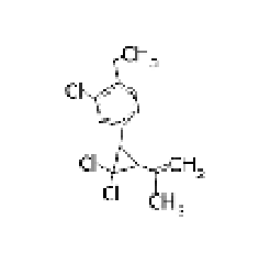 C=C(C)C1C(c2ccc(CC)c(Cl)c2)C1(Cl)Cl